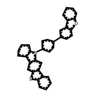 c1ccc2c(c1)oc1ccc(-c3ccc(-n4c5ccccc5c5cc6sc7ccccc7c6cc54)cc3)cc12